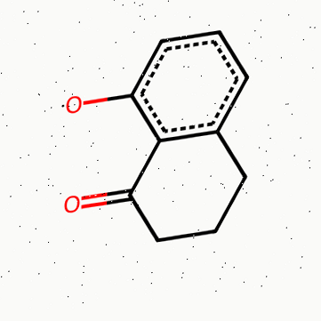 [O]c1cccc2c1C(=O)CCC2